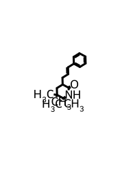 CC1(C)CC(C/C=C/c2ccccc2)C(=O)NC1(C)C